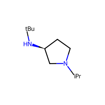 CC(C)N1CC[C@H](NC(C)(C)C)C1